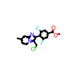 COC(=O)c1cc(F)c(-c2nc3cc(C)ccn3c2CCl)c(F)c1